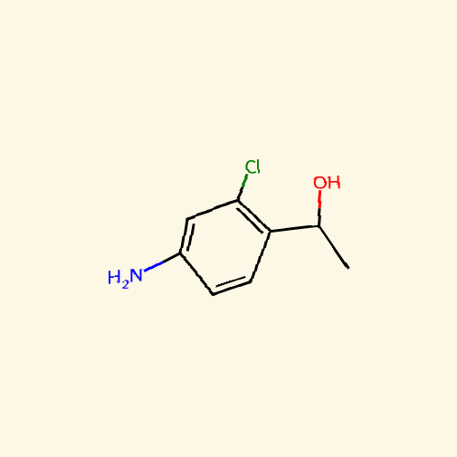 CC(O)c1ccc(N)cc1Cl